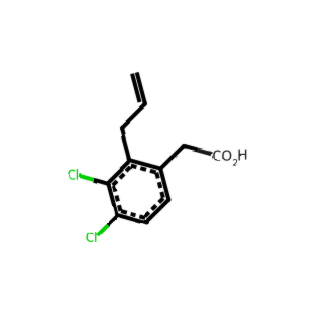 C=CCc1c(CC(=O)O)ccc(Cl)c1Cl